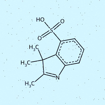 CC1=Nc2cccc(S(=O)(=O)O)c2C1(C)C